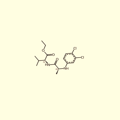 CCOC(=O)[C@@H](NC(=O)[C@H](C)Nc1ccc(Cl)c(Cl)c1)C(C)C